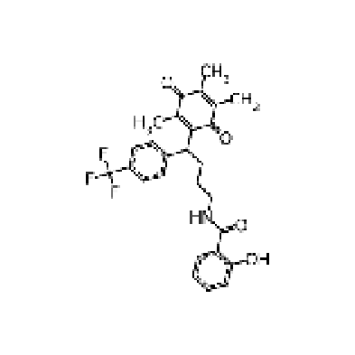 CC1=C(C)C(=O)C(C(CCCNC(=O)c2ccccc2O)c2ccc(C(F)(F)F)cc2)=C(C)C1=O